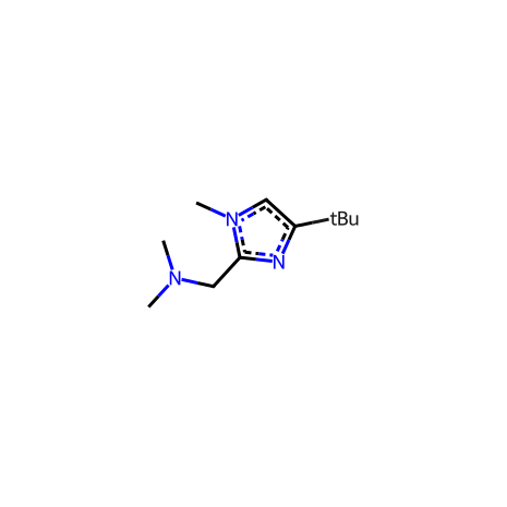 CN(C)Cc1nc(C(C)(C)C)cn1C